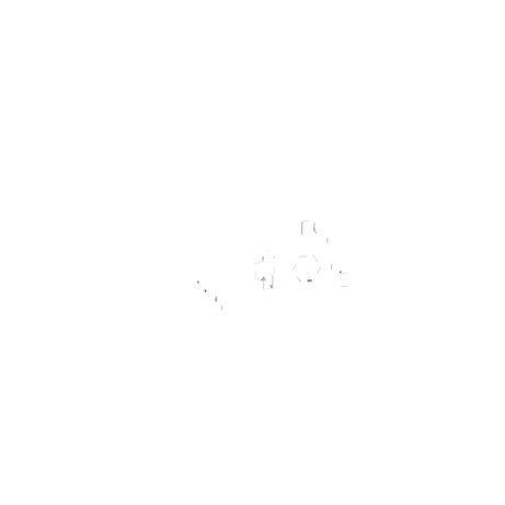 CCOc1ccc(-c2nc(CCC(=O)N3CCCC3)co2)cc1OCC